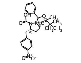 CC(C)(C)[Si](C)(C)OC(c1ccccc1)[C@H]1CC[C@H](Cc2ccc([N+](=O)[O-])cc2)N1C(=O)O